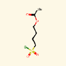 CC(C)(C)C(=O)OCCCCS(=O)(=O)Cl